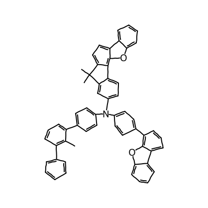 Cc1c(-c2ccccc2)cccc1-c1ccc(N(c2ccc(-c3cccc4c3oc3ccccc34)cc2)c2ccc3c(c2)C(C)(C)c2ccc4c(oc5ccccc54)c2-3)cc1